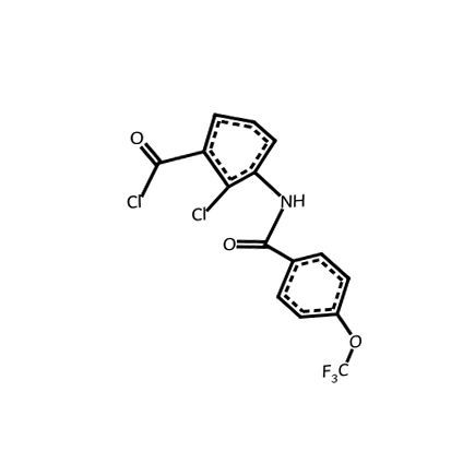 O=C(Nc1cccc(C(=O)Cl)c1Cl)c1ccc(OC(F)(F)F)cc1